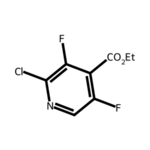 CCOC(=O)c1c(F)cnc(Cl)c1F